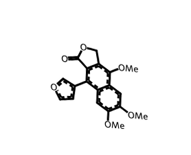 COc1cc2c(OC)c3c(c(-c4ccoc4)c2cc1OC)C(=O)OC3